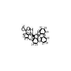 COC(=O)c1scc(C)c1NC(=O)C[PH](c1ccccc1)(c1ccccc1)c1ccccc1